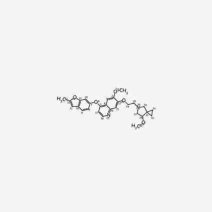 COc1cc2c(Oc3ccc4cc(C)oc4c3)ccnc2cc1OCCN1CC(OC)C2(CC2)C1